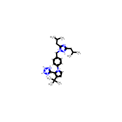 CC(C)Cc1nc(CC(C)C)n(Cc2ccc(-n3ccc(C(C)(C)C)c3-c3nnn[nH]3)cc2)n1